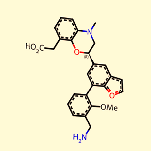 COc1c(CN)cccc1-c1cc([C@@H]2CN(C)c3cccc(CC(=O)O)c3O2)cc2ccoc12